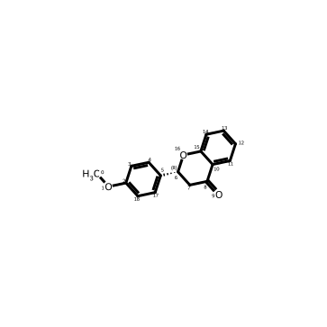 COc1ccc([C@H]2CC(=O)c3ccccc3O2)cc1